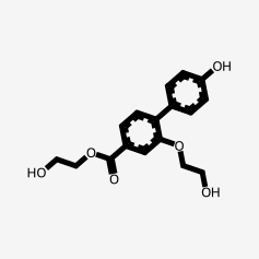 O=C(OCCO)c1ccc(-c2ccc(O)cc2)c(OCCO)c1